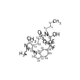 CCCCN(C(=O)O)S(=O)(=O)CCc1c(C)nn(C)c1-n1ccc2ccc(C(F)(F)F)cc21